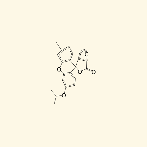 Cc1ccc2c(c1)Oc1cc(OC(C)C)ccc1C21OC(=O)c2ccccc21